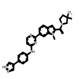 C=C(c1cc2ccc(-c3nccc(Nc4ccc(-c5cn[nH]c5)cc4)n3)cc2n1C)N1CCC(C)(C(F)(F)F)C1